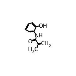 C=C(C)C(=O)Nc1ccccc1O